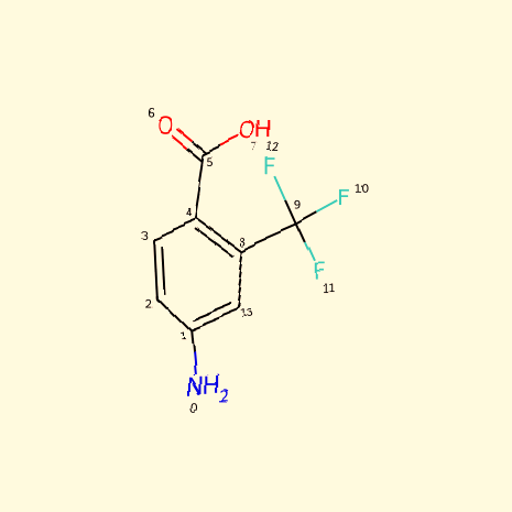 Nc1ccc(C(=O)O)c(C(F)(F)F)c1